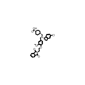 COc1cc(CN(C[C@H]2CC[C@H](C(=O)O)CC2)[C@H]2CCc3cc(Cl)ccc32)ccc1OCCN1C(=O)c2ccccc2C1=O